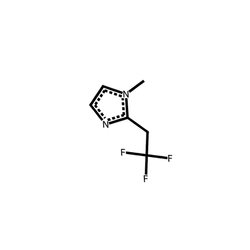 Cn1ccnc1CC(F)(F)F